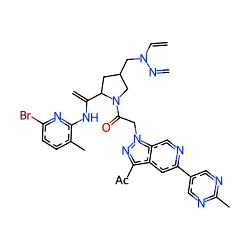 C=CN(CC1CC(C(=C)Nc2nc(Br)ccc2C)N(C(=O)Cn2nc(C(C)=O)c3cc(-c4cnc(C)nc4)ncc32)C1)N=C